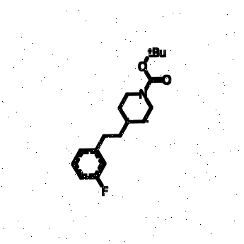 CC(C)(C)OC(=O)N1C[CH][C](CCc2cccc(F)c2)CC1